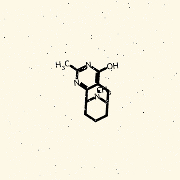 Cc1nc(O)c2c(n1)C1CCCC(C2)N1C